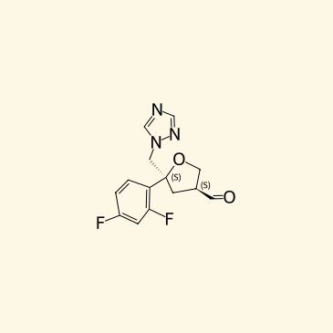 O=C[C@@H]1CO[C@](Cn2cncn2)(c2ccc(F)cc2F)C1